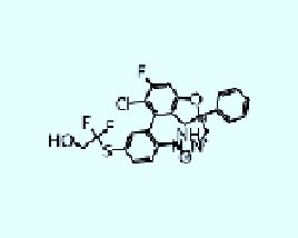 NC[C@@]1(c2ccccc2)Cc2c(cc(F)c(Cl)c2-c2cc(SC(F)(F)CO)ccc2C(N)=O)O1